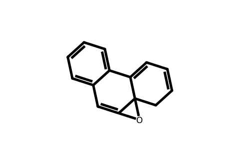 C1=CCC23OC2=Cc2ccccc2C3=C1